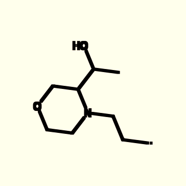 [CH2]CCN1CCOCC1C(C)O